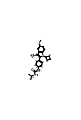 COc1ccc2c(c1)c(N)c(-c1ccc(NC(=O)NC(C)C)cc1)n2C1CCC1